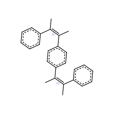 C/C(=C(\C)c1ccc(/C(C)=C(/C)c2ccccc2)cc1)c1ccccc1